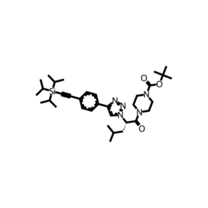 CC(C)C[C@@H](C(=O)N1CCN(C(=O)OC(C)(C)C)CC1)n1cc(-c2ccc(C#C[Si](C(C)C)(C(C)C)C(C)C)cc2)nn1